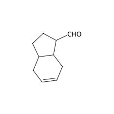 O=CC1CCC2CC=CCC12